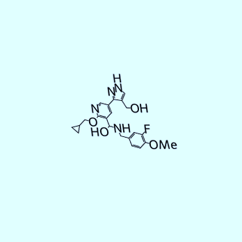 COc1ccc(CNC(O)c2cc(-c3n[nH]cc3CO)cnc2OCC2CC2)cc1F